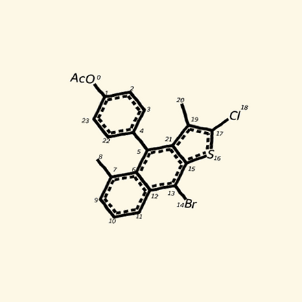 CC(=O)Oc1ccc(-c2c3c(C)cccc3c(Br)c3sc(Cl)c(C)c23)cc1